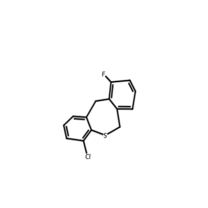 Fc1cccc2c1Cc1cccc(Cl)c1SC2